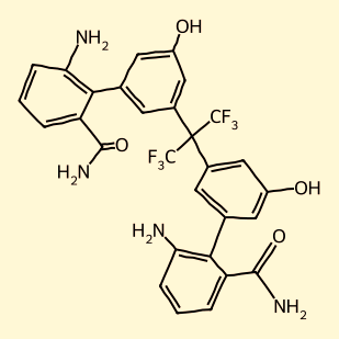 NC(=O)c1cccc(N)c1-c1cc(O)cc(C(c2cc(O)cc(-c3c(N)cccc3C(N)=O)c2)(C(F)(F)F)C(F)(F)F)c1